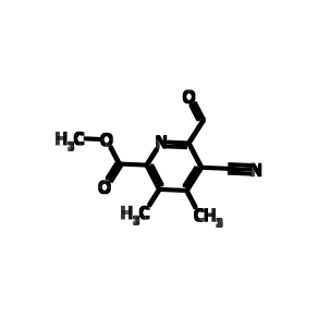 COC(=O)c1nc(C=O)c(C#N)c(C)c1C